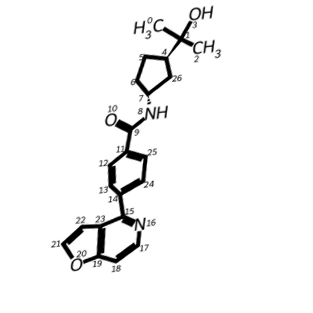 CC(C)(O)[C@@H]1CC[C@@H](NC(=O)c2ccc(-c3nccc4occc34)cc2)C1